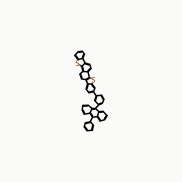 c1ccc(-c2c3ccccc3c(-c3cccc(-c4ccc5c(c4)sc4c5ccc5c4ccc4c6ccccc6sc45)c3)c3ccccc23)cc1